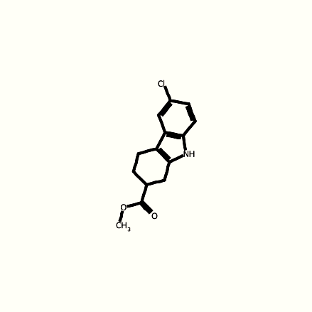 COC(=O)C1CCc2c([nH]c3ccc(Cl)cc23)C1